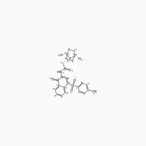 N#Cc1ccc(S(=O)(=O)c2nn(NC(=O)C[C@H]3C[C@@H]4CC[C@H]3C4)c(=O)c3ccccc23)cc1